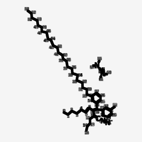 CCCCCC=CC(C(=C=[N+]=[N-])CCCC)=C(c1cccc(C)c1)c1cccc(CCCCCCCCCCCCCCCCCCCCCCCCC)c1.C[N](C)[Ni][N](C)C